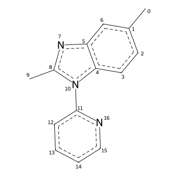 Cc1ccc2c(c1)nc(C)n2-c1ccccn1